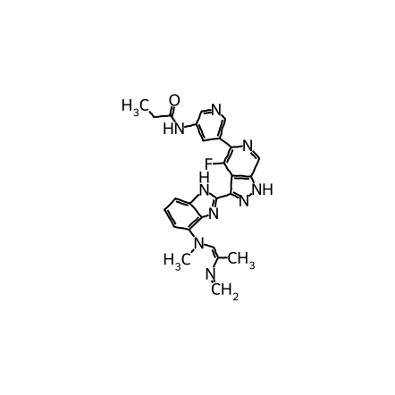 C=N/C(C)=C\N(C)c1cccc2[nH]c(-c3n[nH]c4cnc(-c5cncc(NC(=O)CC)c5)c(F)c34)nc12